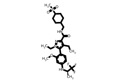 CCc1c(C(=O)NCC2CCC(S(C)(=O)=O)CC2)nn(CC)c1-c1ccc(N[C@H](C)C(F)(F)F)cc1OC